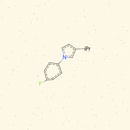 CC(C)c1ccn(-c2ccc(F)cc2)c1